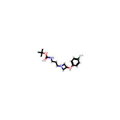 CC(C)(C)OC(=O)NCCCN1CC(Oc2ccc(F)cc2)C1